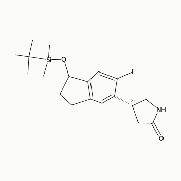 CC(C)(C)[Si](C)(C)OC1CCc2cc([C@@H]3CNC(=O)C3)c(F)cc21